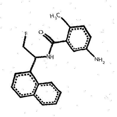 Cc1ccc(N)cc1C(=O)NC(CF)c1cccc2ccccc12